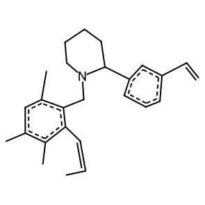 C=Cc1cccc(C2CCCCN2Cc2c(C)cc(C)c(C)c2/C=C\C)c1